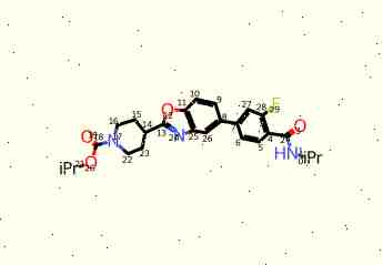 CC(C)NC(=O)c1ccc(-c2ccc3oc(C4CCN(C(=O)OC(C)C)CC4)nc3c2)cc1F